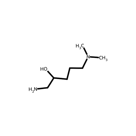 CN(C)CCCC(O)CN